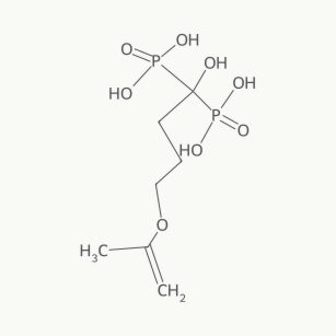 C=C(C)OCCCC(O)(P(=O)(O)O)P(=O)(O)O